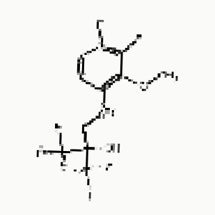 COc1c(NCC(O)(C(F)(F)F)C(F)(F)F)ccc(F)c1F